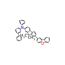 CC1(C)c2cc(-c3ccc4oc5ccccc5c4c3)ccc2-c2ccc(N(c3ccccc3)c3cccc(-c4ccccc4)c3)cc21